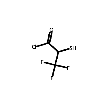 O=C(Cl)C(S)C(F)(F)F